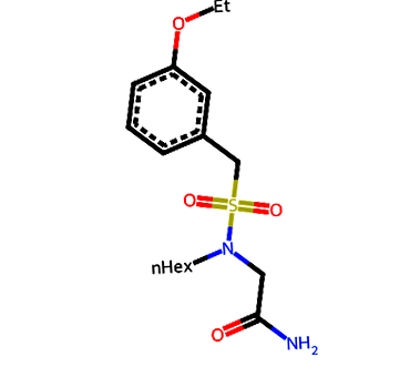 CCCCCCN(CC(N)=O)S(=O)(=O)Cc1cccc(OCC)c1